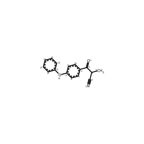 CC(C#N)C(=O)c1ccc(Oc2ccccc2)cc1